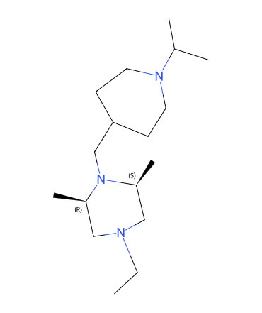 CCN1C[C@@H](C)N(CC2CCN(C(C)C)CC2)[C@@H](C)C1